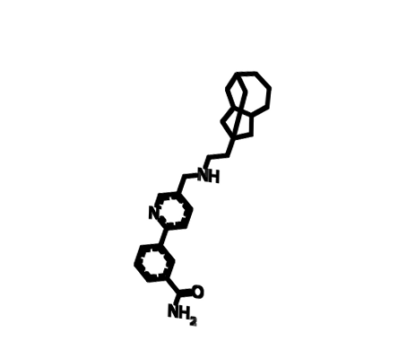 NC(=O)c1cccc(-c2ccc(CNCCC34CC5CCCC(C3)C(C5)C4)cn2)c1